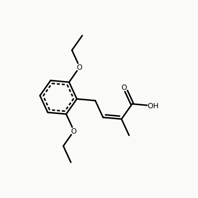 CCOc1cccc(OCC)c1CC=C(C)C(=O)O